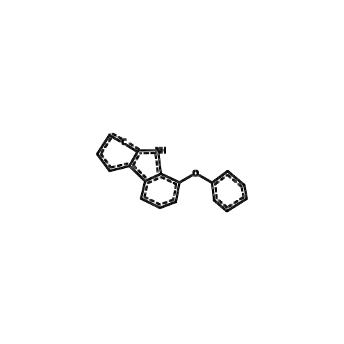 c1ccc(Oc2cccc3c2[nH]c2ccccc23)cc1